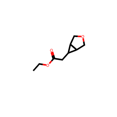 CCOC(=O)CC1C2COCC21